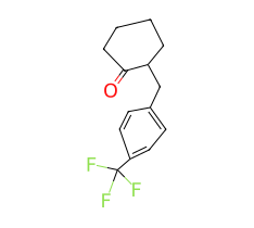 O=C1CCCCC1Cc1ccc(C(F)(F)F)cc1